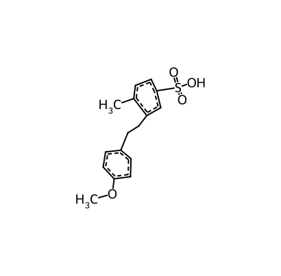 COc1ccc(CCc2cc(S(=O)(=O)O)ccc2C)cc1